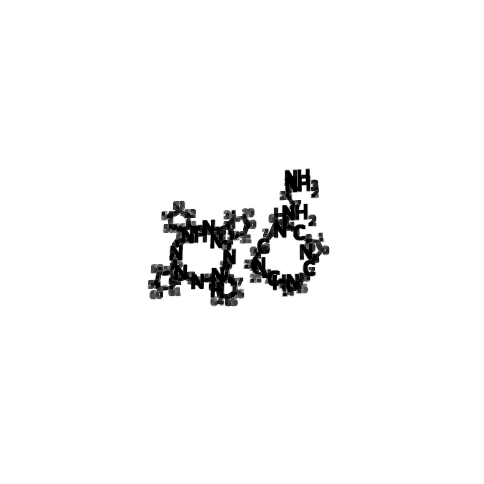 C1=Cc2cc3ccc(cc4nc(cc5ccc(cc1n2)[nH]5)C=C4)[nH]3.N.NCCN.c1ccc2c(c1)-c1nc-2nc2[nH]c(nc3nc(nc4[nH]c(n1)c1ccccc41)-c1ccccc1-3)c1ccccc21